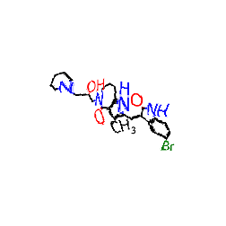 Cc1c(/C=C2\C(=O)Nc3ccc(Br)cc32)[nH]c2c1C(=O)N(C[C@H](O)CN1CCCCC1)CCC2